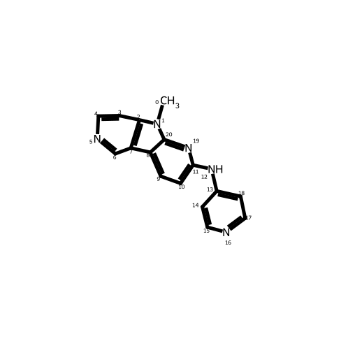 Cn1c2ccncc2c2ccc(Nc3ccncc3)nc21